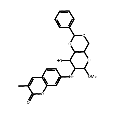 COC1OC2COC(c3ccccc3)OC2C(O)C1Nc1ccc2cc(C)c(=O)oc2c1